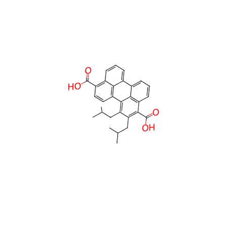 CC(C)Cc1c(C(=O)O)c2cccc3c4cccc5c(C(=O)O)ccc(c(c1CC(C)C)c23)c54